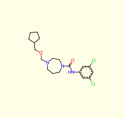 O=C(Nc1cc(Cl)cc(Cl)c1)N1CCCN(COCC2CCCC2)CC1